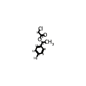 CC(OC(=O)CCl)c1ccc(I)cc1